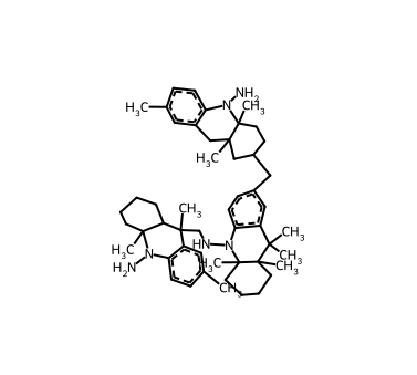 Cc1ccc2c(c1)CC1(C)CC(Cc3ccc4c(c3)C(C)(C)C3(C)CCCCC3(C)N4NCC3(C)c4cc(C)ccc4N(N)C4(C)CCCCC34)CCC1(C)N2N